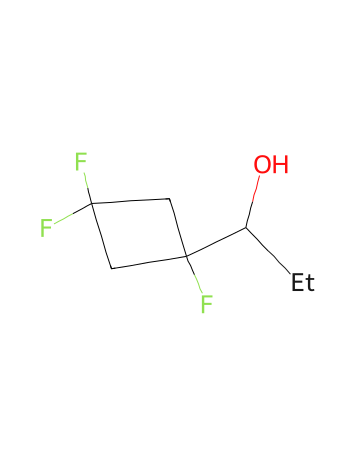 CCC(O)C1(F)CC(F)(F)C1